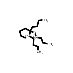 CCCC[SiH]1CCCCC1(CCCC)ONCCC